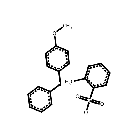 COc1ccc([I+]c2ccccc2)cc1.Cc1ccccc1S(=O)(=O)[O-]